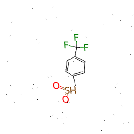 O=[SH](=O)Cc1ccc(C(F)(F)F)cc1